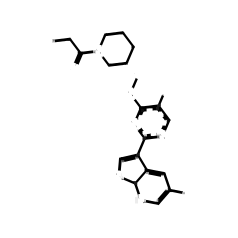 O=C(CCl)N1CCC[C@H](CNc2nc(C3=CNC4NC=C(Cl)C=C34)ncc2F)C1